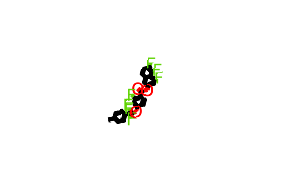 Cc1ccc(C(F)(F)Oc2ccc(C(=O)Oc3cc(F)c4c(F)c(F)ccc4c3)c(F)c2F)cc1